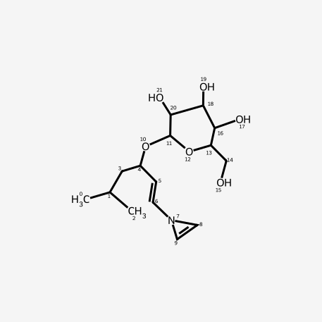 CC(C)CC(C=CN1C=C1)OC1OC(CO)C(O)C(O)C1O